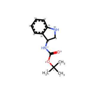 CC(C)(C)OC(=O)NC1CNc2ccccc21